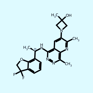 Cc1nc2c(C)nnc(N[C@H](C)c3cccc4c3OCC4(F)F)c2cc1N1CC(C)(O)C1